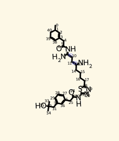 CC1C=C(CC(=O)N/C(N)=C/C=C(\N)CCCCc2nnc(NC(=O)Cc3cccc(CC(C)(C)O)c3)s2)C=CC1